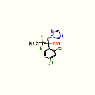 CSC(F)(F)C(O)(Cn1cncn1)c1ccc(Cl)cc1Cl